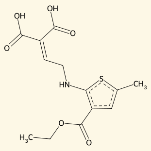 CCOC(=O)c1cc(C)sc1NCC=C(C(=O)O)C(=O)O